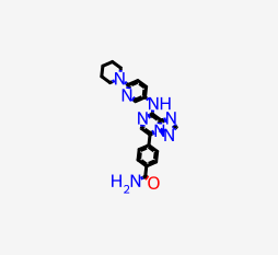 NC(=O)c1ccc(-c2cnc(Nc3ccc(N4CCCCC4)nc3)c3ncnn23)cc1